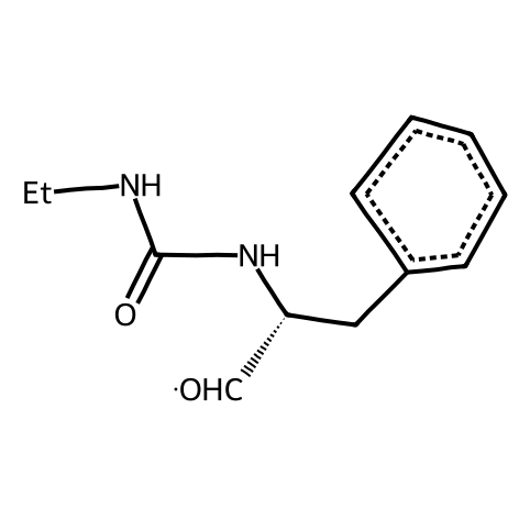 CCNC(=O)N[C@@H]([C]=O)Cc1ccccc1